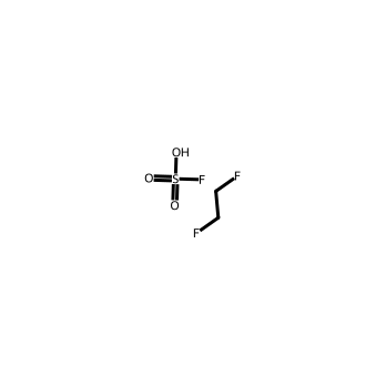 FCCF.O=S(=O)(O)F